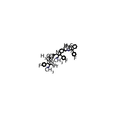 C/C=C/c1c(-c2ccc(F)cc2)nc(N(CC2CC2c2nc3c(c(-c4ccc(F)cc4)c2/C=C/C)CC(C)(C/C=C/C2=C(c4ccc(F)cc4)C4C=CC=CC4(C)N2C(C)C)C=C3)S(C)(=O)=O)nc1C(C)C